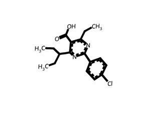 CCc1nc(-c2ccc(Cl)cc2)nc(C(CC)CC)c1C(=O)O